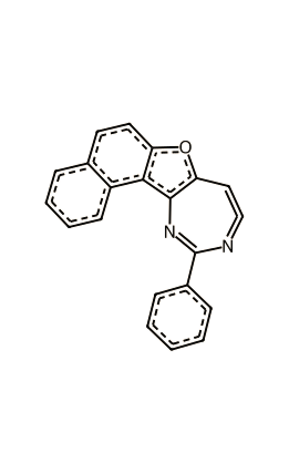 C1=Cc2oc3ccc4ccccc4c3c2N=C(c2ccccc2)N=1